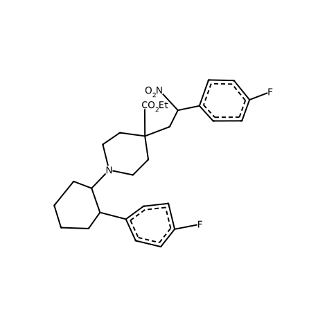 CCOC(=O)C1(CC(c2ccc(F)cc2)[N+](=O)[O-])CCN(C2CCCCC2c2ccc(F)cc2)CC1